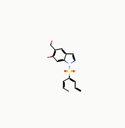 C=C/C=C(\C=C/C)S(=O)(=O)n1ccc2cc(CO)c(Br)cc21